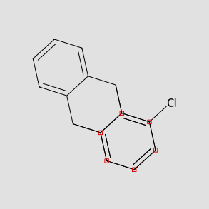 Clc1cccc2c1C1c3ccccc3C2c2ccccc21